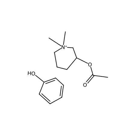 CC(=O)OC1CCC[N+](C)(C)C1.Oc1ccccc1